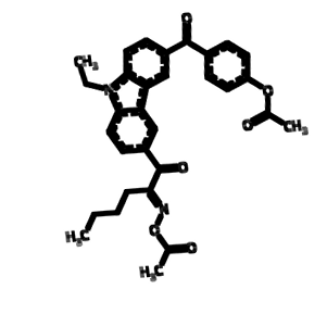 CCCC/C(=N\OC(C)=O)C(=O)c1ccc2c(c1)c1cc(C(=O)c3ccc(OC(C)=O)cc3)ccc1n2CC